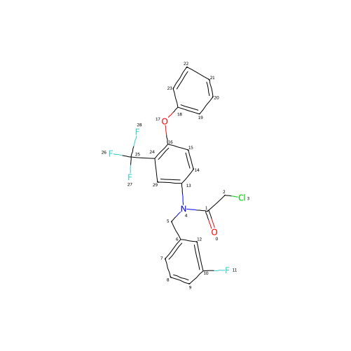 O=C(CCl)N(Cc1cccc(F)c1)c1ccc(Oc2ccccc2)c(C(F)(F)F)c1